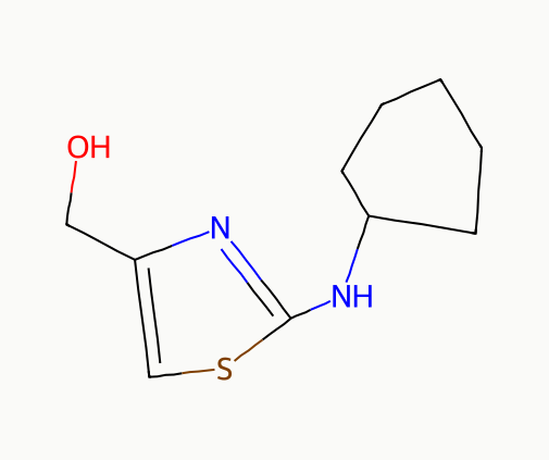 OCc1csc(NC2CCCCC2)n1